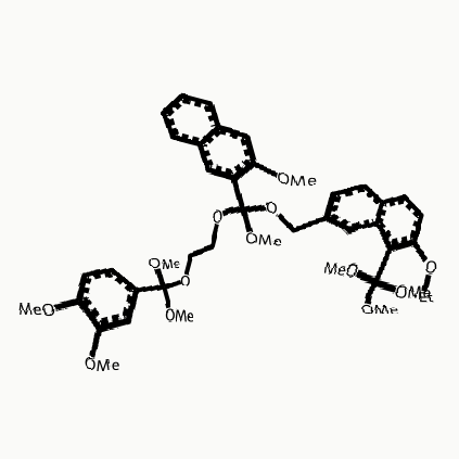 CCOc1ccc2ccc(COC(OC)(OCCOC(OC)(OC)c3ccc(OC)c(OC)c3)c3cc4ccccc4cc3OC)cc2c1C(OC)(OC)OC